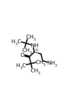 CC(C)(C)N[C@@H](CCN)C(=O)C(C)(C)C